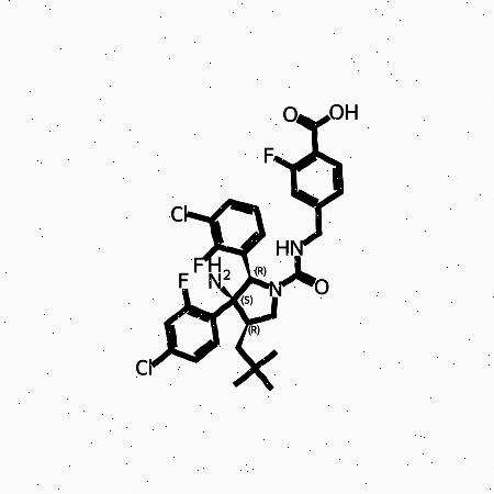 CC(C)(C)C[C@@H]1CN(C(=O)NCc2ccc(C(=O)O)c(F)c2)[C@H](c2cccc(Cl)c2F)[C@@]1(N)c1ccc(Cl)cc1F